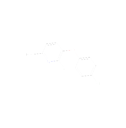 Cc1ccc(Oc2ccc(Cl)cc2)c(Cl)n1